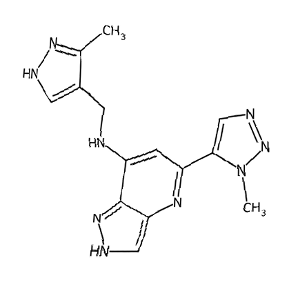 Cc1n[nH]cc1CNc1cc(-c2cnnn2C)nc2c[nH]nc12